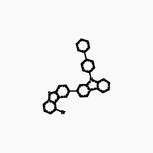 Brc1cccc2sc3ccc(-c4ccc5c6ccccc6n(-c6ccc(-c7ccccc7)cc6)c5c4)cc3c12